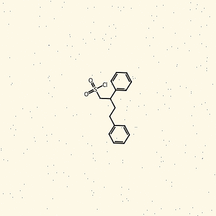 O=S(=O)(Cl)CC(CCc1ccccc1)c1ccccc1